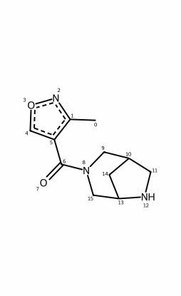 Cc1nocc1C(=O)N1CC2CNC(C2)C1